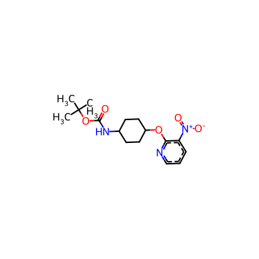 CC(C)(C)OC(=O)NC1CCC(Oc2ncccc2[N+](=O)[O-])CC1